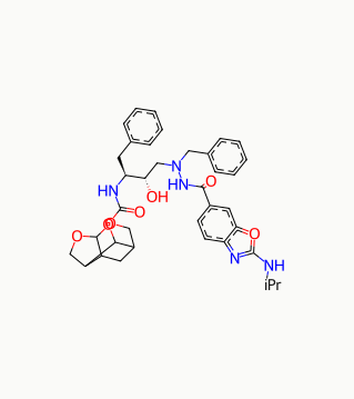 CC(C)Nc1nc2ccc(C(=O)NN(Cc3ccccc3)C[C@H](O)[C@H](Cc3ccccc3)NC(=O)OC3C4COC5OCC3C5C4)cc2o1